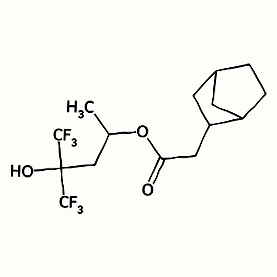 CC(CC(O)(C(F)(F)F)C(F)(F)F)OC(=O)CC1CC2CCC1C2